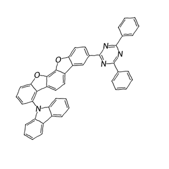 c1ccc(-c2nc(-c3ccccc3)nc(-c3ccc4oc5c(ccc6c5oc5cccc(-n7c8ccccc8c8ccccc87)c56)c4c3)n2)cc1